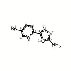 Nc1nnc(-c2ccc(Br)cn2)o1